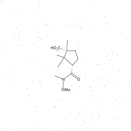 CON(C)C(=O)[C@H]1CC[C@@](C)(C(=O)O)C1(C)C